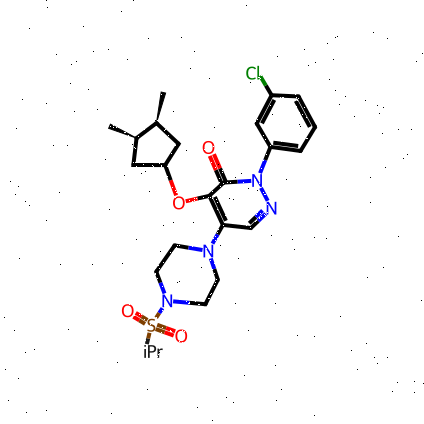 CC(C)S(=O)(=O)N1CCN(c2cnn(-c3cccc(Cl)c3)c(=O)c2OC2C[C@@H](C)[C@@H](C)C2)CC1